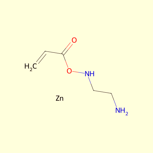 C=CC(=O)ONCCN.[Zn]